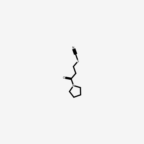 N#CSCCC(=O)N1CCCC1